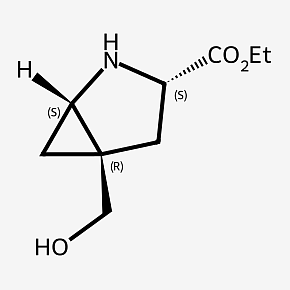 CCOC(=O)[C@@H]1C[C@]2(CO)C[C@@H]2N1